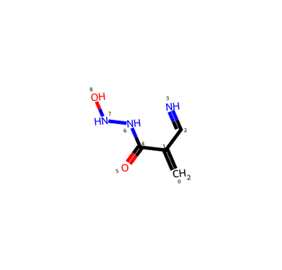 C=C(C=N)C(=O)NNO